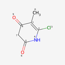 CC1=C(Cl)NC(=O)CC1=O